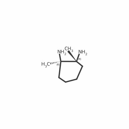 C[C@@]1(N)CCCC[C@@]1(C)N